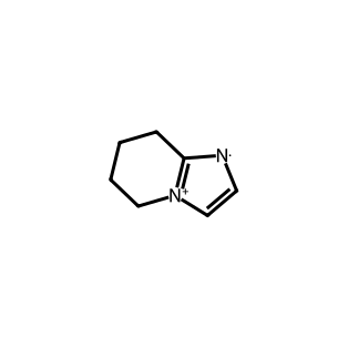 C1=C[N+]2=C(CCCC2)[N]1